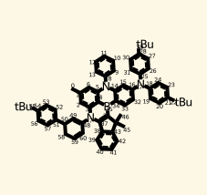 Cc1cc2c3c(c1)N(c1ccccc1)c1cc(N(c4ccc(C(C)(C)C)cc4)c4ccc(C(C)(C)C)cc4)ccc1B3C1=C(c3ccccc3C1(C)C)N2C1=CC(c2ccc(C(C)(C)C)cc2)CC=C1